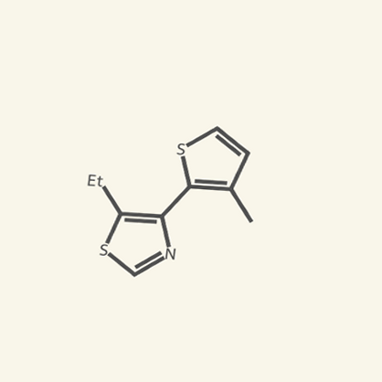 CCc1scnc1-c1sccc1C